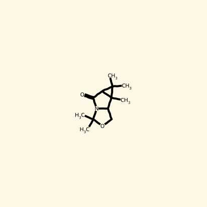 CC1(C)OCC2N1C(=O)C1C(C)(C)C21C